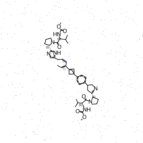 C/C=C(\C=C/Cc1cnc([C@@H]2CCCN2C(=O)[C@@H](NC(=O)OC)C(C)C)[nH]1)C12CC(c3ccc(C4CN=C([C@@H]5CCCN5C(=O)[C@@H](NC(=O)OC)C(C)C)C4)cc3)(C1)C2